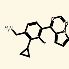 NCc1ccc(-c2ncnn3cccc23)c(F)c1C1CC1